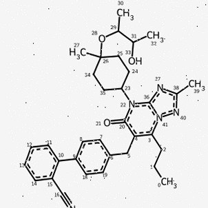 CCCc1c(Cc2ccc(-c3ccccc3C#N)cc2)c(=O)n(C2CCC(C)(OC(C)C(C)O)CC2)c2nc(C)nn12